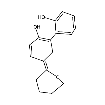 OC1=C(c2ccccc2O)CC(=C2CCCCC2)C=C1